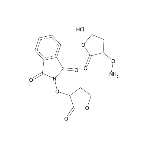 Cl.NOC1CCOC1=O.O=C1OCCC1ON1C(=O)c2ccccc2C1=O